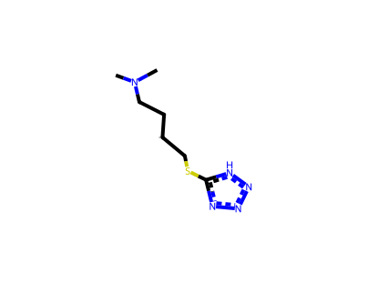 CN(C)CC[CH]CSc1nnn[nH]1